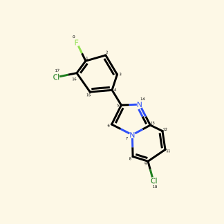 Fc1ccc(-c2cn3cc(Cl)ccc3n2)cc1Cl